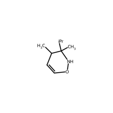 CC(C)C1(C)NOC=CC1C